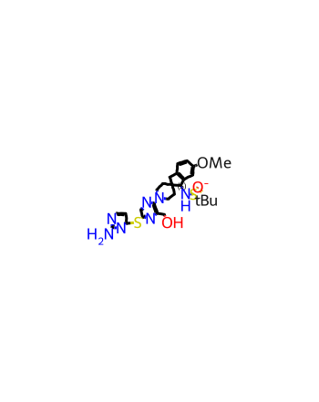 COc1ccc2c(c1)[C@@H](N[S+]([O-])C(C)(C)C)C1(CCN(c3ncc(Sc4ccnc(N)n4)nc3CO)CC1)C2